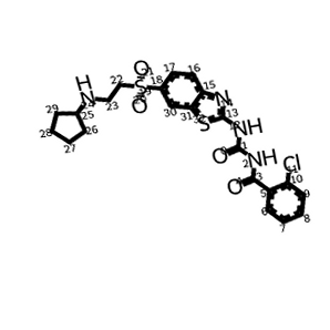 O=C(NC(=O)c1ccccc1Cl)Nc1nc2ccc(S(=O)(=O)CCNC3CCCC3)cc2s1